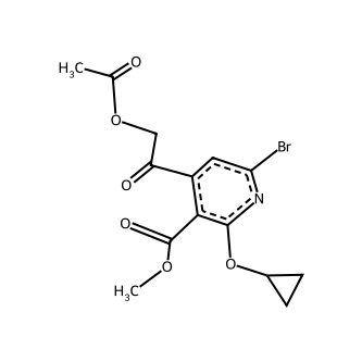 COC(=O)c1c(C(=O)COC(C)=O)cc(Br)nc1OC1CC1